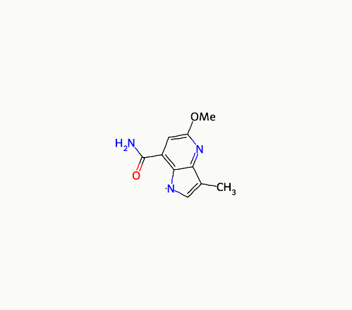 COc1cc(C(N)=O)c2c(n1)C(C)=C[N]2